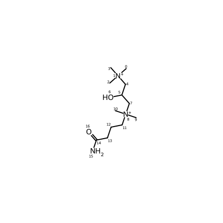 C[N+](C)(C)CC(O)C[N+](C)(C)CCCC(N)=O